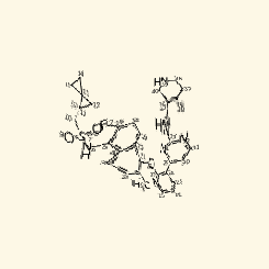 Cc1ccc2c(NS(=O)(=O)C[C@H]3CC34CC4)c(F)ccc2c1Oc1ncccc1-c1ccnc(NC2CCCNC2)n1